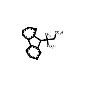 CC(CC(=O)O)(C(=O)O)C1c2ccccc2-c2ccccc21